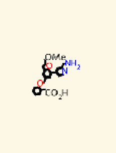 COCc1cc2cc(COc3ccccc3CC(=O)O)cc(-c3ccnc(CN)c3)c2o1